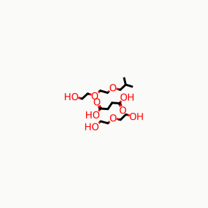 CC(C)COCCOCCO.O=C(O)CCC(=O)O.OCCOCCO